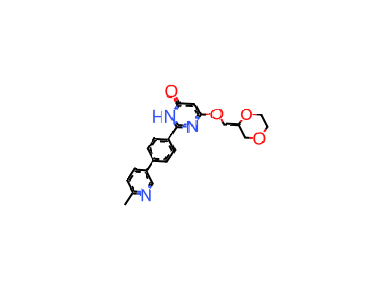 Cc1ccc(-c2ccc(-c3nc(OCC4COCCO4)cc(=O)[nH]3)cc2)cn1